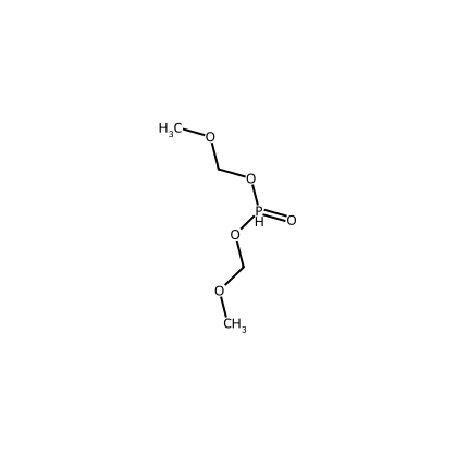 COCO[PH](=O)OCOC